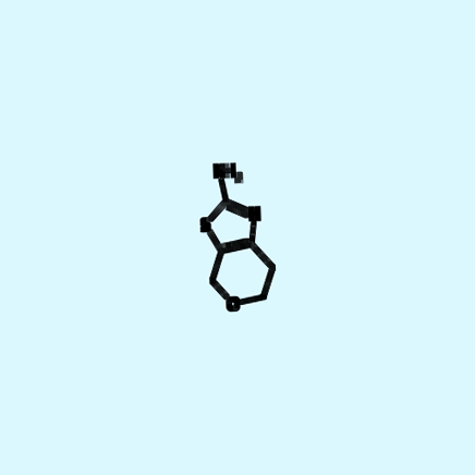 Nc1nc2c(s1)COCC2